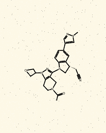 CC(=O)N1CCc2c(c(N3C[C@@H](CC#N)c4cc(-c5cnn(C)c5)ccc43)nn2C2COC2)C1